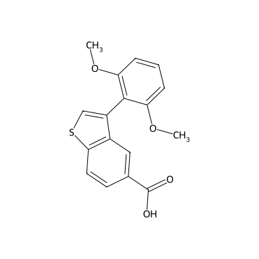 COc1cccc(OC)c1-c1csc2ccc(C(=O)O)cc12